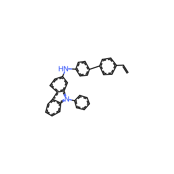 C=Cc1ccc(-c2ccc(Nc3ccc4c5ccccc5n(-c5ccccc5)c4c3)cc2)cc1